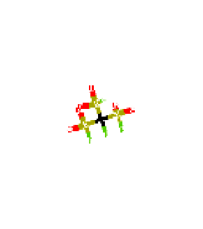 O=S(=O)(F)C(F)(S(=O)(=O)F)S(=O)(=O)F